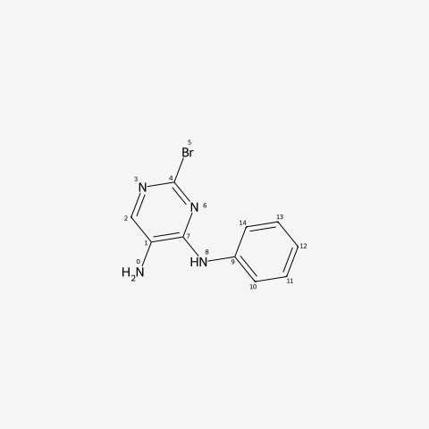 Nc1cnc(Br)nc1Nc1ccccc1